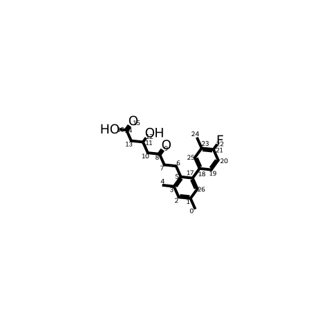 Cc1cc(C)c(CCC(=O)CC(O)CC(=O)O)c(-c2ccc(F)c(C)c2)c1